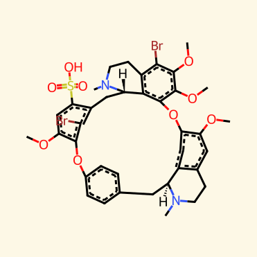 COc1cc2c3cc1Oc1c(OC)c(OC)c(Br)c4c1[C@H](Cc1c(S(=O)(=O)O)cc(OC)c(c1Br)Oc1ccc(cc1)C[C@@H]3N(C)CC2)N(C)CC4